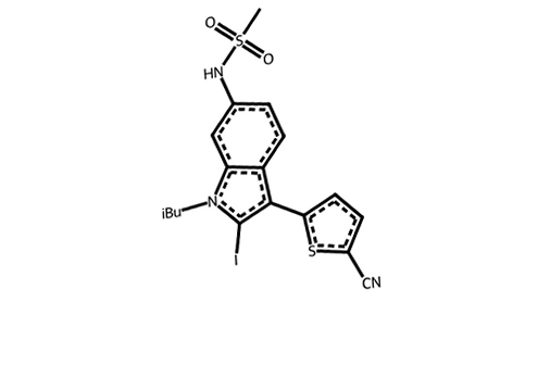 CCC(C)n1c(I)c(-c2ccc(C#N)s2)c2ccc(NS(C)(=O)=O)cc21